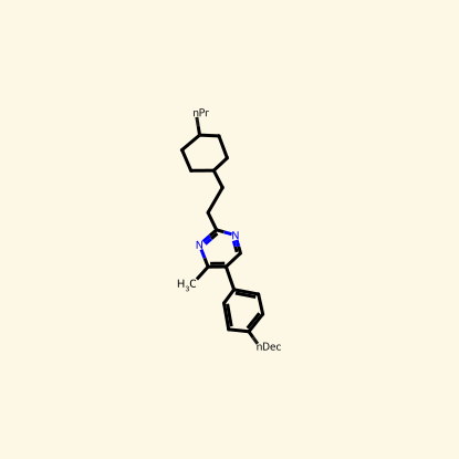 CCCCCCCCCCc1ccc(-c2cnc(CCC3CCC(CCC)CC3)nc2C)cc1